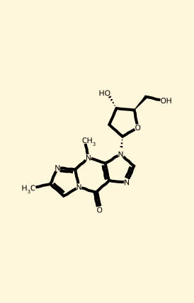 Cc1cn2c(=O)c3ncn([C@@H]4C[C@H](O)[C@@H](CO)O4)c3n(C)c2n1